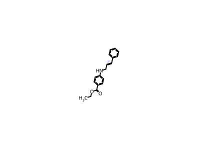 CCOC(=O)c1ccc(NC/C=C/c2ccccc2)cc1